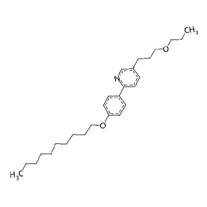 CCCCCCCCCCOc1ccc(-c2ccc(CCCOCCC)cn2)cc1